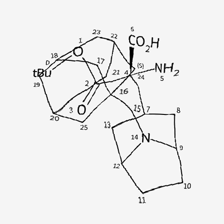 CC(C)(C)OC(=O)[C@@](N)(C(=O)O)C1CC2CCC(C1)N2CC12CC3CC(CC(C3)C1)C2